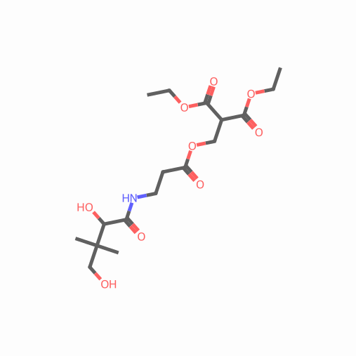 CCOC(=O)C(COC(=O)CCNC(=O)C(O)C(C)(C)CO)C(=O)OCC